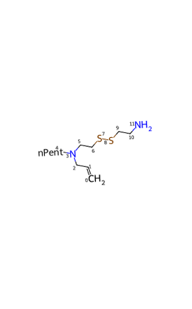 C=CCN(CCCCC)CCSSCCN